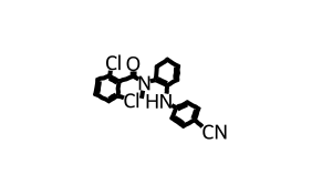 CN(C(=O)c1c(Cl)cccc1Cl)C1=C(Nc2ccc(C#N)cc2)C=CCC1